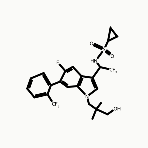 CC(C)(CO)Cn1cc(C(NS(=O)(=O)C2CC2)C(F)(F)F)c2cc(F)c(-c3ccccc3C(F)(F)F)cc21